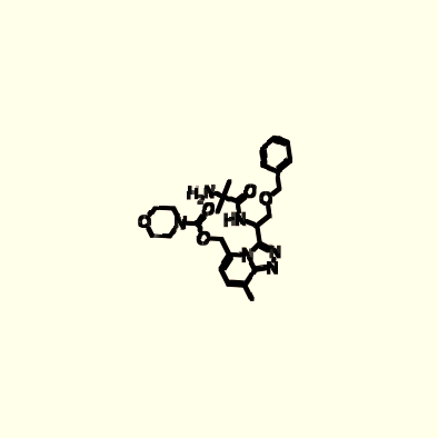 Cc1ccc(COC(=O)N2CCOCC2)n2c(C(COCc3ccccc3)NC(=O)C(C)(C)N)nnc12